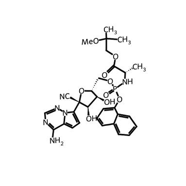 COC(C)(C)COC(=O)[C@H](C)NP(=O)(OC[C@H]1O[C@@](C#N)(c2ccc3c(N)ncnn23)[C@H](O)[C@@H]1O)Oc1cccc2ccccc12